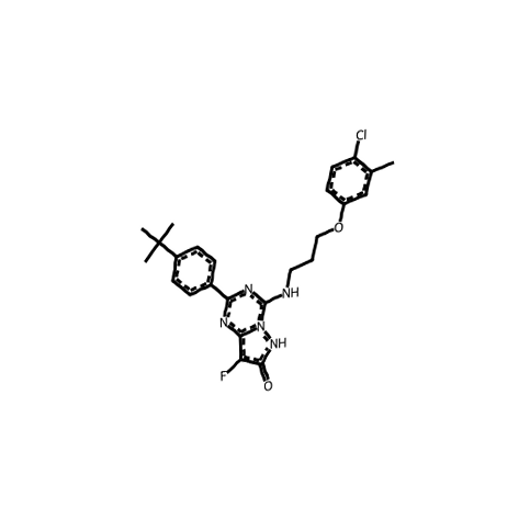 Cc1cc(OCCCNc2nc(-c3ccc(C(C)(C)C)cc3)nc3c(F)c(=O)[nH]n23)ccc1Cl